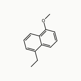 CCc1cccc2c(OC)cccc12